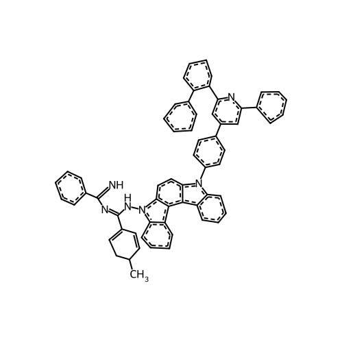 CC1C=CC(/C(=N/C(=N)c2ccccc2)Nn2c3ccccc3c3c4c5ccccc5n(-c5ccc(-c6cc(-c7ccccc7)nc(-c7ccccc7-c7ccccc7)c6)cc5)c4ccc32)=CC1